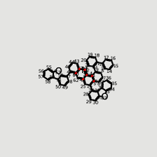 c1ccc(-c2ccccc2-c2c(-c3ccccc3)cccc2N(c2ccc(-c3cccc4oc5ccccc5c34)cc2)c2cccc(-c3cccc4c3oc3ccccc34)c2)cc1